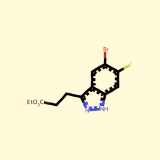 CCOC(=O)CCc1n[nH]c2cc(F)c(Br)cc12